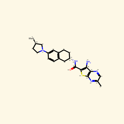 CN[C@@H]1CCN(c2ccc3c(c2)CC[C@H](NC(=O)c2sc4nc(C)cnc4c2N)C3)C1